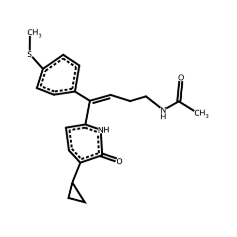 CSc1ccc(/C(=C/CCNC(C)=O)c2ccc(C3CC3)c(=O)[nH]2)cc1